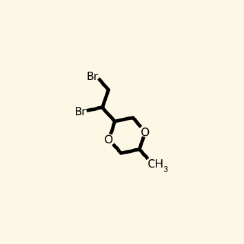 CC1COC(C(Br)CBr)CO1